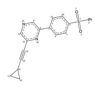 CC(C)S(=O)(=O)c1ccc(-c2cncc(C#CC3CC3)n2)cc1